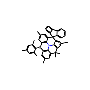 Cc1cc(C)c(B2c3cc(C)cc4c3N3c5c2cc(C)cc5C2(c5ccccc5-c5ccccc52)c2cc(C)cc(c23)C4(C)C)c(C)c1